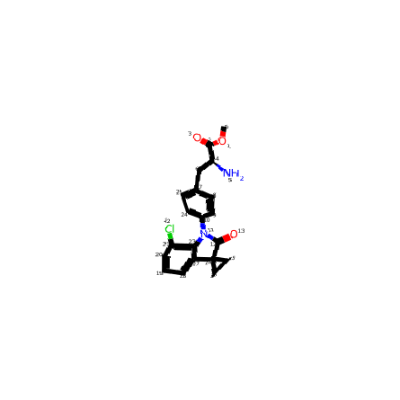 COC(=O)[C@@H](N)Cc1ccc(N2C(=O)C3(CC3)c3cccc(Cl)c32)cc1